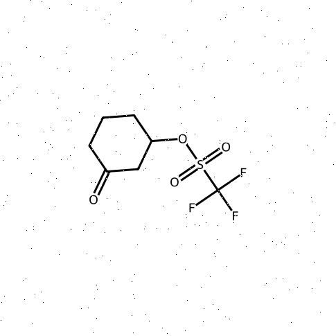 O=C1CCCC(OS(=O)(=O)C(F)(F)F)C1